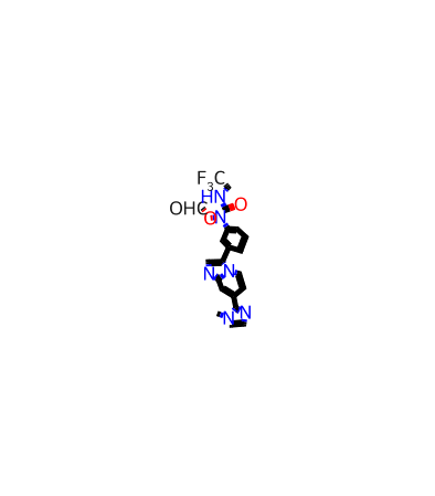 Cn1ccnc1-c1ccn2c(-c3cccc(N(OC=O)C(=O)NCC(F)(F)F)c3)cnc2c1